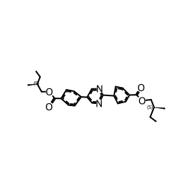 CC[C@H](C)COC(=O)c1ccc(-c2cnc(-c3ccc(C(=O)OC[C@@H](C)CC)cc3)nc2)cc1